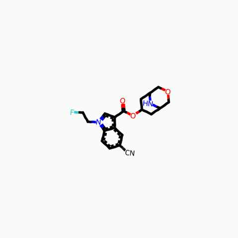 N#Cc1ccc2c(c1)c(C(=O)OC1CC3COCC(C1)N3)cn2CCF